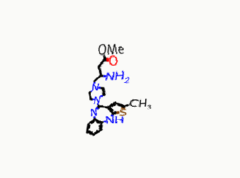 COC(=O)CC(N)CN1CCN(C2=Nc3ccccc3Nc3sc(C)cc32)CC1